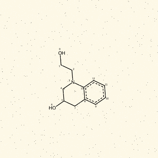 OCCN1[C]C(O)Cc2ccccc21